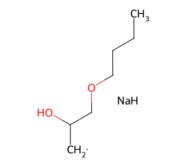 [CH2]C(O)COCCCC.[NaH]